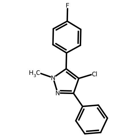 Cn1nc(-c2ccccc2)c(Cl)c1-c1ccc(F)cc1